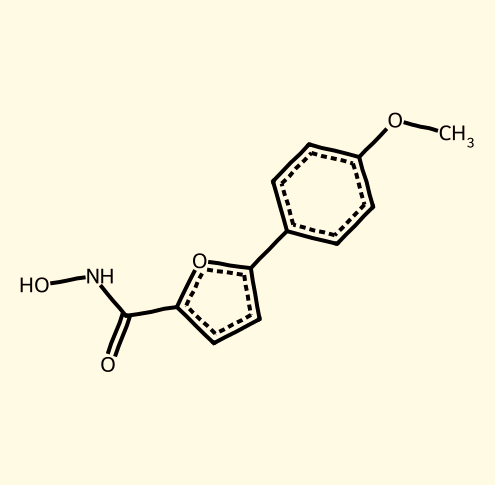 COc1ccc(-c2ccc(C(=O)NO)o2)cc1